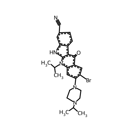 CC(C)N1CCN(c2cc3c(cc2Br)c(=O)c2c4ccc(C#N)cc4[nH]c2n3C(C)C)CC1